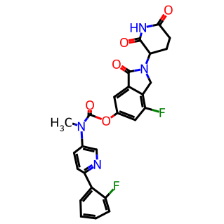 CN(C(=O)Oc1cc(F)c2c(c1)C(=O)N(C1CCC(=O)NC1=O)C2)c1ccc(-c2ccccc2F)nc1